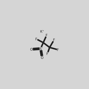 O=[S-](=O)C(F)(F)C(F)(F)F.[K+]